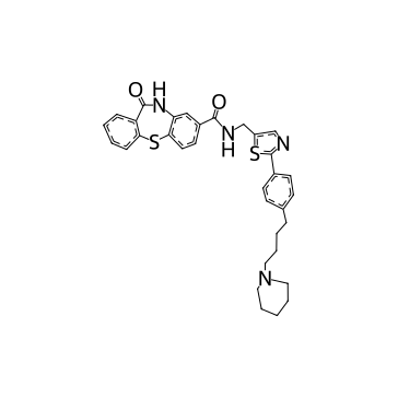 O=C(NCc1cnc(-c2ccc(CCCCN3CCCCC3)cc2)s1)c1ccc2c(c1)NC(=O)c1ccccc1S2